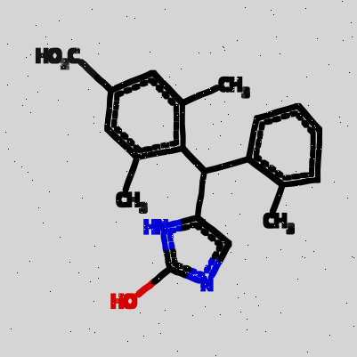 Cc1ccccc1C(c1cnc(O)[nH]1)c1c(C)cc(C(=O)O)cc1C